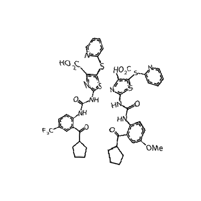 COc1ccc(NC(=O)Nc2nc(C(=O)O)c(Sc3ccccn3)s2)c(C(=O)C2CCCC2)c1.O=C(Nc1nc(C(=O)O)c(Sc2ccccn2)s1)Nc1ccc(C(F)(F)F)cc1C(=O)C1CCCC1